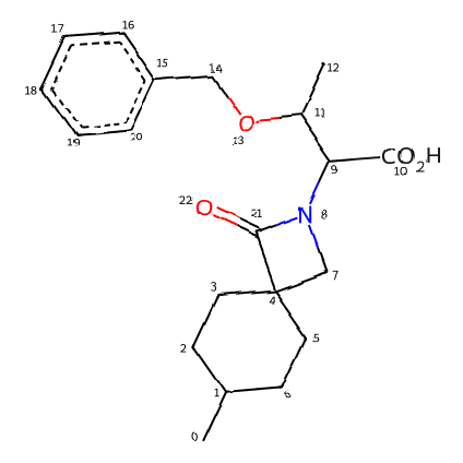 CC1CCC2(CC1)CN(C(C(=O)O)C(C)OCc1ccccc1)C2=O